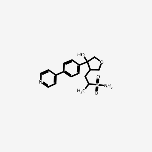 CC(CC1COCC1(O)c1ccc(-c2ccncc2)cc1)S(N)(=O)=O